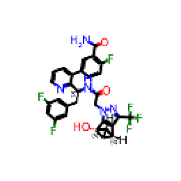 NC(=O)c1cc(-c2cccnc2[C@H](Cc2cc(F)cc(F)c2)NC(=O)Cn2nc(C(F)(F)F)c3c2[C@]2(O)C4[C@@H]3[C@H]42)ccc1F